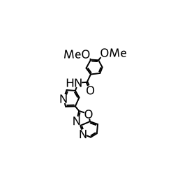 COc1ccc(C(=O)Nc2cncc(-c3nc4ncccc4o3)c2)cc1OC